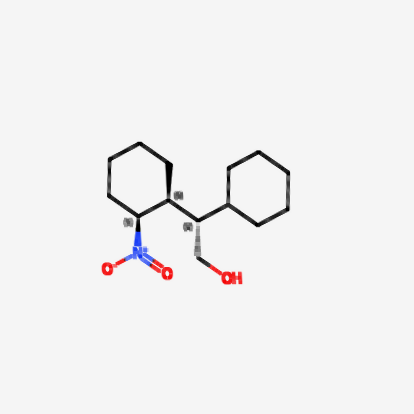 O=[N+]([O-])[C@H]1CCCC[C@H]1[C@@H](CO)C1CCCCC1